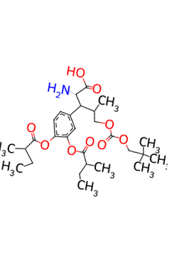 CCC(C)C(=O)Oc1ccc(C(C(C)COC(=O)OCC(C)(C)C)[C@H](N)C(=O)O)cc1OC(=O)C(C)CC